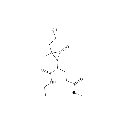 CCNC(=O)C(CCC(=O)NC)N1C(=O)C1(C)CCO